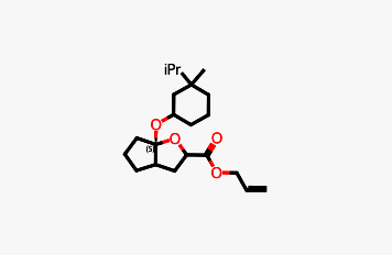 C=CCOC(=O)C1CC2CCC[C@]2(OC2CCCC(C)(C(C)C)C2)O1